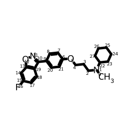 CN(CCCOc1ccc(-c2noc3cc(F)ccc23)cc1)C1CCCCC1